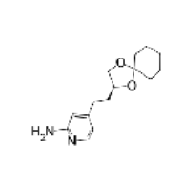 Nc1cc(CC[C@H]2COC3(CCCCC3)O2)ccn1